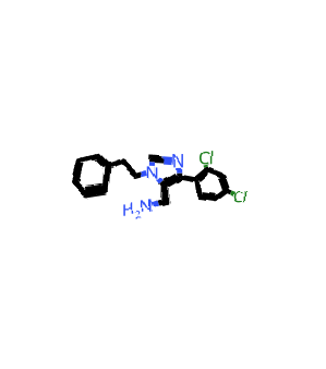 NCc1c(-c2ccc(Cl)cc2Cl)ncn1CCc1ccccc1